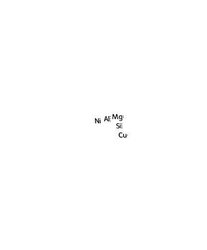 [Al].[Cu].[Mg].[Ni].[Si]